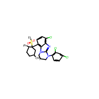 CCS(=O)(=O)C1(c2ccc(Cl)c3nc4n(c23)CCCN4c2ccc(Cl)cc2Cl)CC(C)CCC1C(C)C